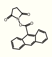 O=C(ON1C(=O)CCC1=O)c1c2ccccc2cc2ccccc12